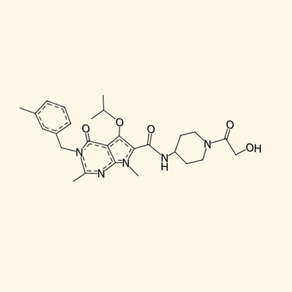 Cc1cccc(Cn2c(C)nc3c(c(OC(C)C)c(C(=O)NC4CCN(C(=O)CO)CC4)n3C)c2=O)c1